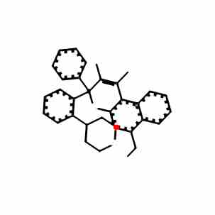 CC1=C(C)C(c2ccccc2)(c2ccccc2C2CCNCC2)Oc2cc(CC(=O)O)c3ccccc3c21